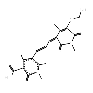 CC1=C(OCN)C(=O)N(C)C(=O)C1=CC=Cc1c(C)c(C(N)=O)c(=O)n(C)c1O